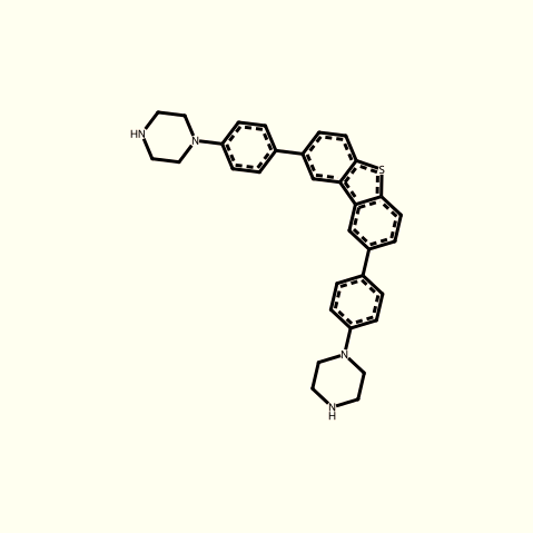 c1cc(N2CCNCC2)ccc1-c1ccc2sc3ccc(-c4ccc(N5CCNCC5)cc4)cc3c2c1